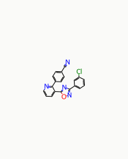 N#Cc1ccc(-c2ncccc2-c2nc(-c3cccc(Cl)c3)no2)cc1